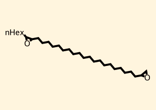 CCCCCCC1OC1CCCCCCCCCCCCCCCCCCCCC1CO1